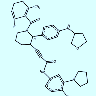 CC1=C(C(=O)N2CCCC(C#CC(=O)Nc3ccc(C)c(N4CCCC4)c3)[C@@H]2c2ccc(NC3CCOC3)cc2)C(F)=CCC1